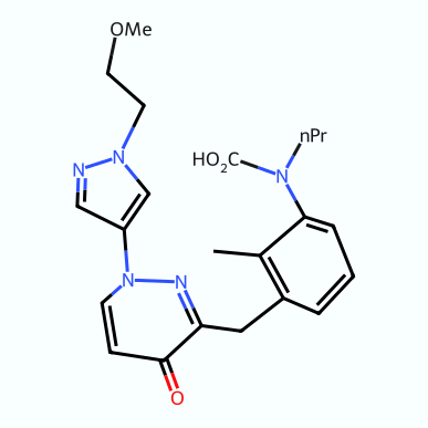 CCCN(C(=O)O)c1cccc(Cc2nn(-c3cnn(CCOC)c3)ccc2=O)c1C